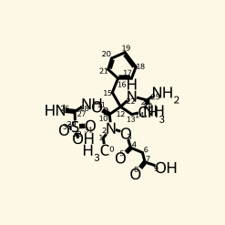 CCN(OC(=O)CC(=O)O)C(=O)C(CC)(Cc1ccccc1)NC(=N)N.N=C(N)S(=O)(=O)O